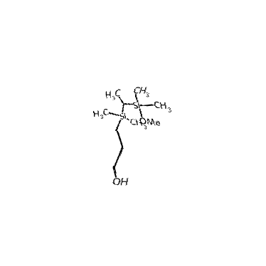 CO[Si](C)(C)C(C)[Si](C)(C)CCCO